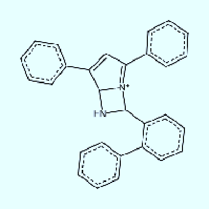 C1=C(c2ccccc2)C2NC(c3ccccc3-c3ccccc3)[N+]2=C1c1ccccc1